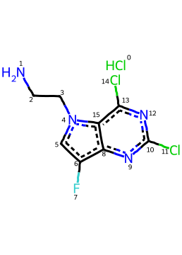 Cl.NCCn1cc(F)c2nc(Cl)nc(Cl)c21